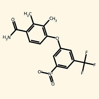 Cc1c(Oc2cc([N+](=O)[O-])cc(C(F)(F)F)c2)ccc(C(N)=O)c1C